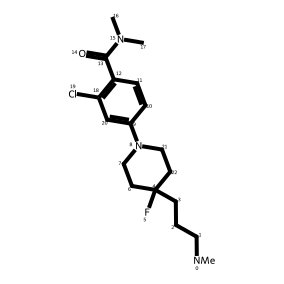 CNCCCC1(F)CCN(c2ccc(C(=O)N(C)C)c(Cl)c2)CC1